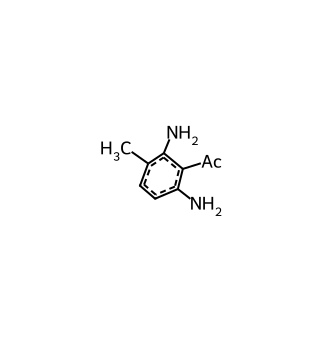 CC(=O)c1c(N)ccc(C)c1N